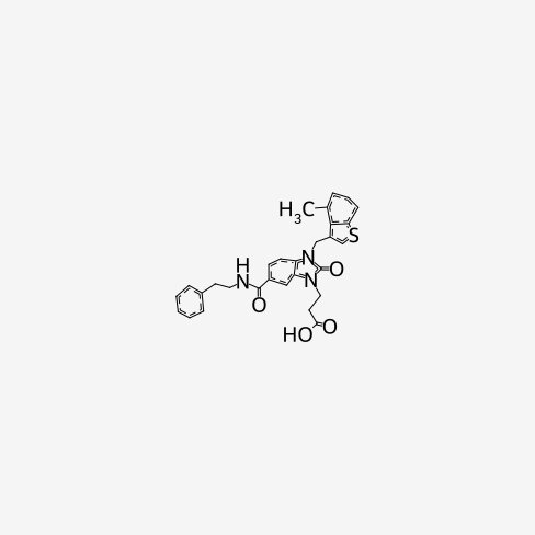 Cc1cccc2scc(Cn3c(=O)n(CCC(=O)O)c4cc(C(=O)NCCc5ccccc5)ccc43)c12